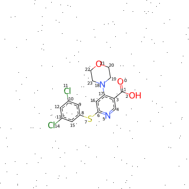 O=C(O)c1cnc(Sc2cc(Cl)cc(Cl)c2)cc1N1CCOCC1